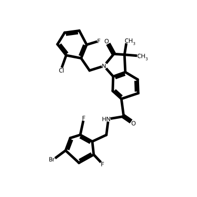 CC1(C)C(=O)N(Cc2c(F)cccc2Cl)c2cc(C(=O)NCc3c(F)cc(Br)cc3F)ccc21